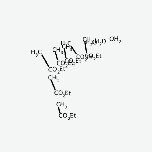 CCOC(C)=O.CCOC(C)=O.CCOC(C)=O.CCOC(C)=O.CCOC(C)=O.CCOC(C)=O.CCOC(C)=O.O.O.O